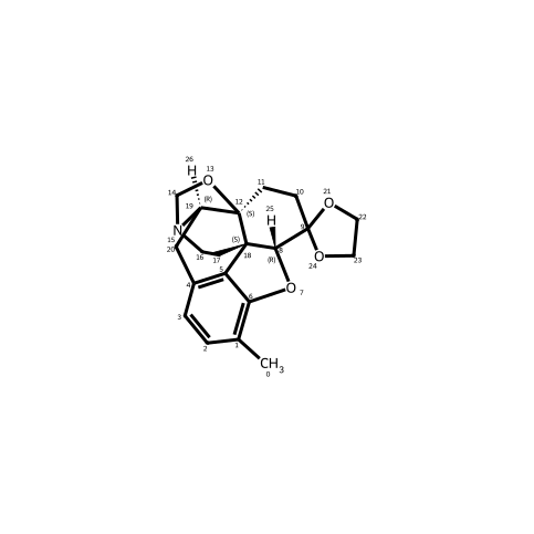 Cc1ccc2c3c1O[C@H]1C4(CC[C@]56OCN(CC[C@]315)[C@@H]6C2)OCCO4